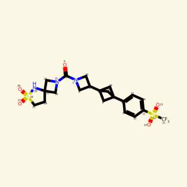 O=C(N1CC(C23CC(c4ccc(S(=O)(=O)C(F)(F)F)cc4)(C2)C3)C1)N1CC2(CCS(=O)(=O)N2)C1